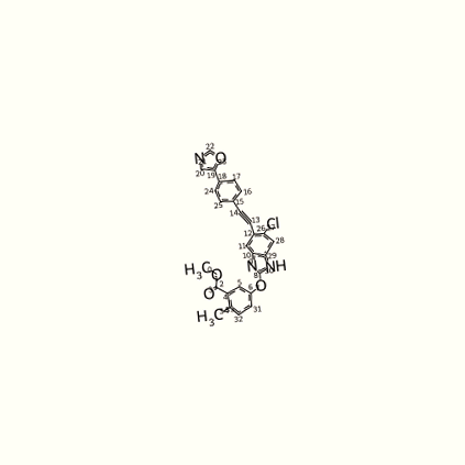 COC(=O)c1cc(Oc2nc3cc(C#Cc4ccc(-c5cnco5)cc4)c(Cl)cc3[nH]2)ccc1C